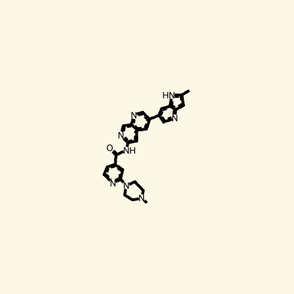 Cc1cc2ncc(-c3cnc4cnc(NC(=O)c5ccnc(N6CCN(C)CC6)c5)cc4c3)cc2[nH]1